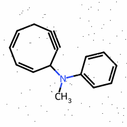 CN(c1ccccc1)C1C#CC/C=C\C=C/1